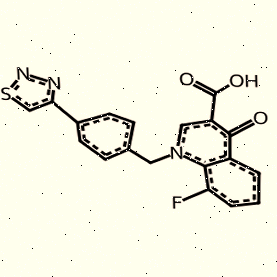 O=C(O)c1cn(Cc2ccc(-c3csnn3)cc2)c2c(F)cccc2c1=O